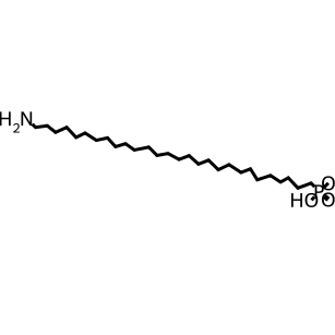 NCCCCCCCCCCCCCCCCCCCCCCCCCCCCP(=O)(O)O